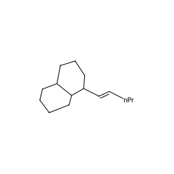 CCCC=CC1CCCC2CCCCC12